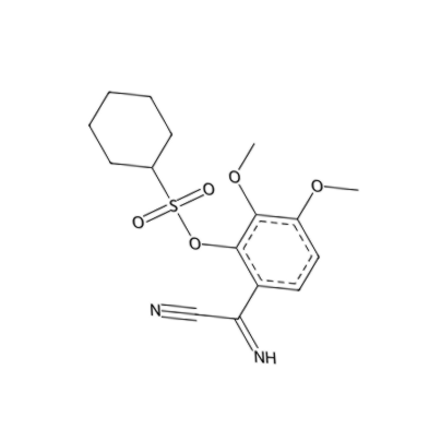 COc1ccc(C(=N)C#N)c(OS(=O)(=O)C2CCCCC2)c1OC